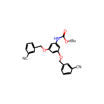 CC(C)(C)OC(=O)Nc1cc(OCc2cccc(C#N)c2)cc(OCc2cccc(C#N)c2)c1